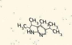 Cc1c(C(C)C)cnc2c1C(C)C(C)N2